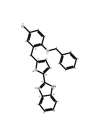 Clc1ccc(OCc2ccccc2)c(Cc2ccc(-c3nc4ccccc4[nH]3)o2)c1